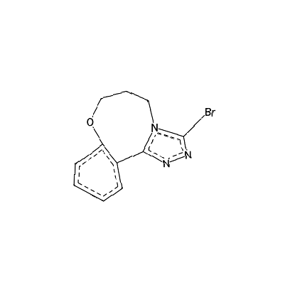 Brc1nnc2n1CCCOc1ccccc1-2